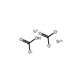 O=C([O-])O.O=C([O-])[O-].[Li+].[Sr+2]